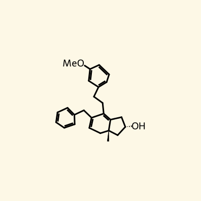 COc1cccc(CCC2=C3C[C@H](O)C[C@]3(C)CC=C2Cc2ccccc2)c1